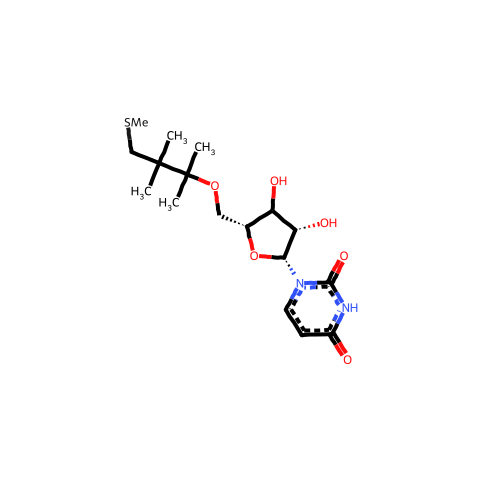 CSCC(C)(C)C(C)(C)OC[C@H]1O[C@@H](n2ccc(=O)[nH]c2=O)[C@@H](O)C1O